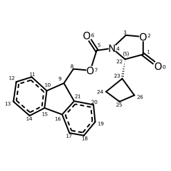 O=C1OCN(C(=O)OCC2c3ccccc3-c3ccccc32)[C@H]1C1CCC1